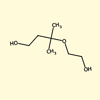 CC(C)(CCO)OCCO